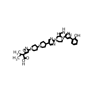 CC(C)C(C(=O)O)c1cc(N2CCC(N3CCC(c4cnc(N5CCN6c7cc(-c8ccccc8O)nnc7NC[C@@H]6C5)nc4)CC3)CC2)no1